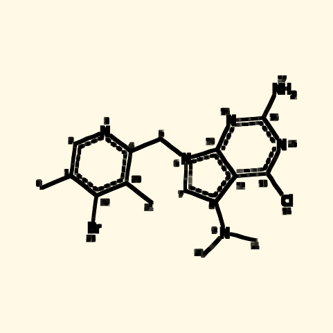 Cc1cnc(Cn2cc(N(C)C)c3c(Cl)nc(N)nc32)c(C)c1Br